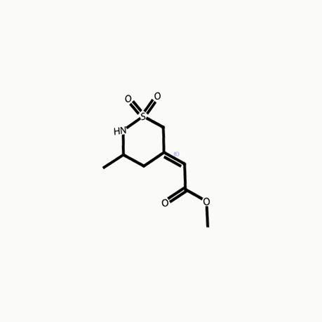 COC(=O)/C=C1\CC(C)NS(=O)(=O)C1